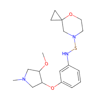 COC1CN(C)CC1Oc1cccc(NSN2CCOC3(CC3)C2)c1